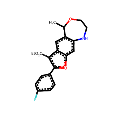 CCOC(=O)c1c(-c2ccc(F)cc2)oc2cc3c(cc12)C(C)OCCN3